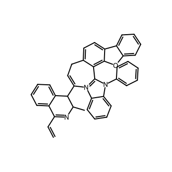 C=CC1=NC(C)C(C2=CCc3ccc4c(oc5ccccc54)c3-c3n(-c4ccccc4)c4ccccc4[n+]32)c2ccccc21